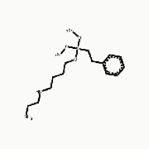 CCCO[Si](CCc1ccccc1)(OCCC)OCCCCNCCN